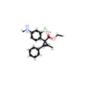 CCOC(=O)C1(c2ccc(NC)cc2Cl)C(C)=C1c1ccccc1